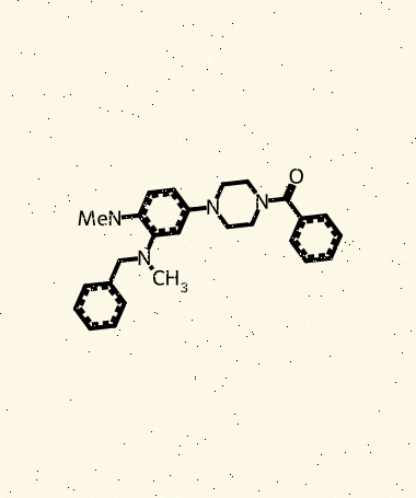 CNc1ccc(N2CCN(C(=O)c3ccccc3)CC2)cc1N(C)Cc1ccccc1